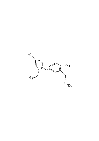 OCCc1cc(Cc2ccc(O)cc2CO)ccc1O